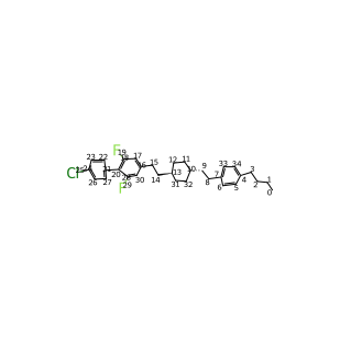 CCCCc1ccc(CC[C@H]2CC[C@H](CCc3cc(F)c(-c4ccc(Cl)cc4)c(F)c3)CC2)cc1